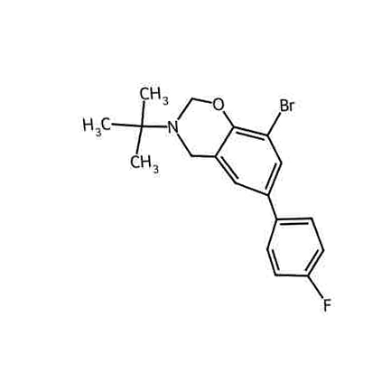 CC(C)(C)N1COc2c(Br)cc(-c3ccc(F)cc3)cc2C1